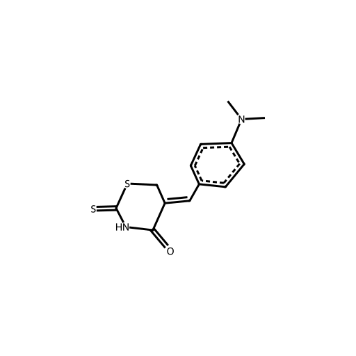 CN(C)c1ccc(C=C2CSC(=S)NC2=O)cc1